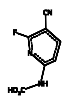 N#Cc1ccc(NC(=O)O)nc1F